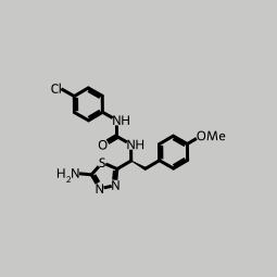 COc1ccc(C[C@H](NC(=O)Nc2ccc(Cl)cc2)c2nnc(N)s2)cc1